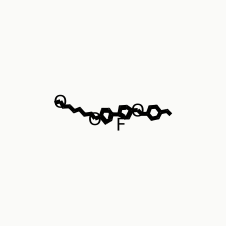 CCC1CCC(COc2ccc(-c3ccc(OCCCCCCOC)cc3)c(F)c2)CC1